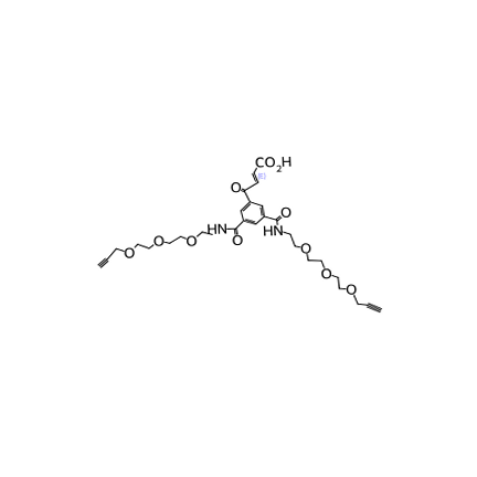 C#CCOCCOCCOCCNC(=O)c1cc(C(=O)/C=C/C(=O)O)cc(C(=O)NCCOCCOCCOCC#C)c1